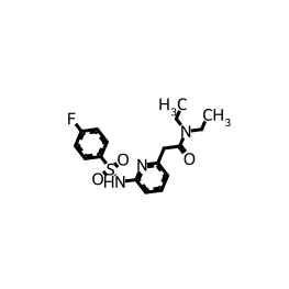 CCN(CC)C(=O)Cc1cccc(NS(=O)(=O)c2ccc(F)cc2)n1